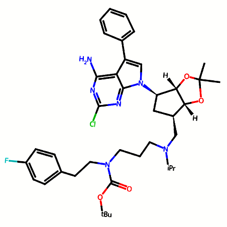 CC(C)N(CCCN(CCc1ccc(F)cc1)C(=O)OC(C)(C)C)C[C@H]1C[C@@H](n2cc(-c3ccccc3)c3c(N)nc(Cl)nc32)[C@@H]2OC(C)(C)O[C@H]12